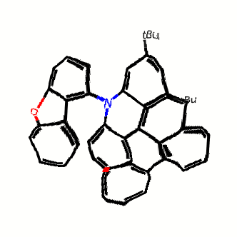 CC(C)(C)c1cc(N(c2ccccc2-c2cccc3cccc(-c4ccccc4)c23)c2cccc3oc4ccccc4c23)cc(C(C)(C)C)c1